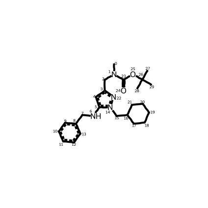 CN(Cc1cc(NCc2ccccc2)n(CC2CCCCC2)n1)C(=O)OC(C)(C)C